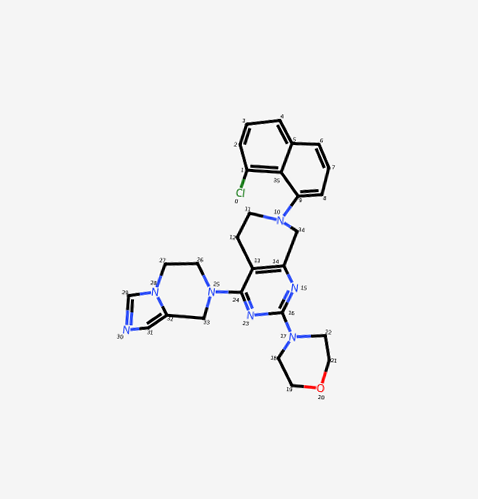 Clc1cccc2cccc(N3CCc4c(nc(N5CCOCC5)nc4N4CCn5cncc5C4)C3)c12